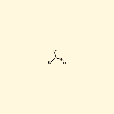 CCP(CC)CC.I